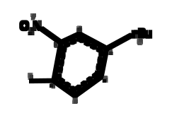 CCCCc1ccc(C)c([N+](=O)[O-])c1